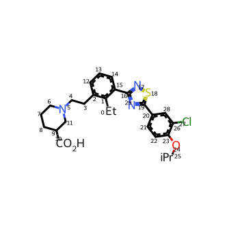 CCc1c(CCN2CCCC(C(=O)O)C2)cccc1-c1nsc(-c2ccc(OC(C)C)c(Cl)c2)n1